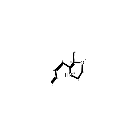 C=C/C=C\C1=C(C)OCCN1